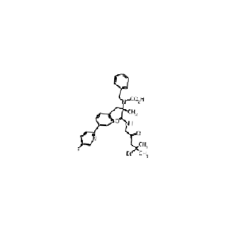 CCC(C)(C)CC(=O)CNC(=O)C(C)(Cc1ccc(-c2ccc(F)cn2)cc1)N(Cc1ccccc1)C(=O)O